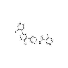 Cc1ccncc1C(=O)Nc1cnc(-c2cc(-c3ccncc3F)ccc2Cl)cn1